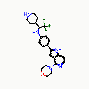 FC(F)(F)C(Nc1ccc(-c2cc3c(N4CCOCC4)nccc3[nH]2)cc1)C1CCNCC1